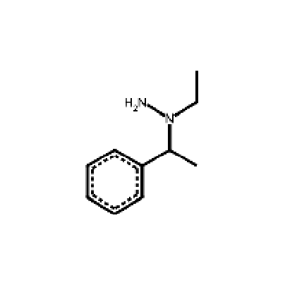 CCN(N)C(C)c1ccccc1